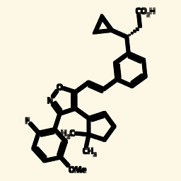 COc1ccc(F)c(-c2noc(C=Cc3cccc([C@@H](CC(=O)O)C4CC4)c3)c2C2=CCCC2(C)C)c1